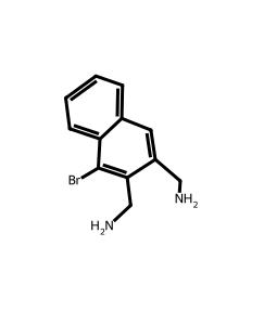 NCc1cc2ccccc2c(Br)c1CN